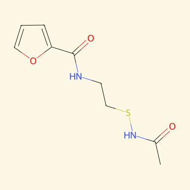 CC(=O)NSCCNC(=O)c1ccco1